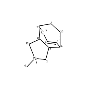 CN1CC2C3C=CCC(CC3)C2C1